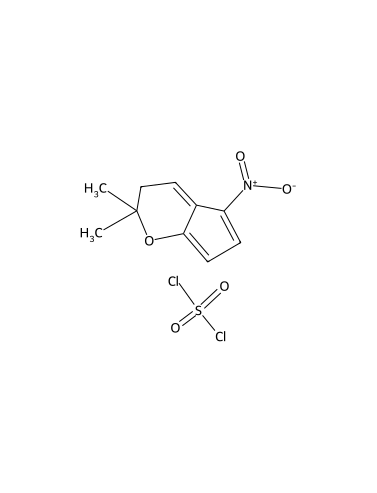 CC1(C)CC=C2C(=CC=C2[N+](=O)[O-])O1.O=S(=O)(Cl)Cl